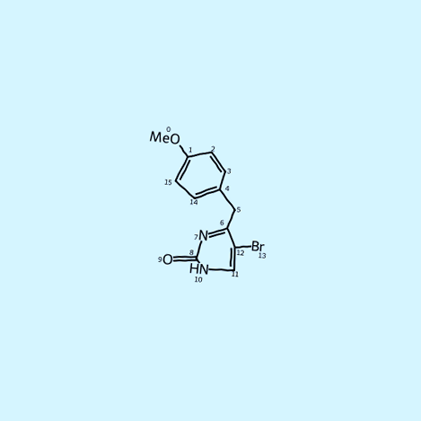 COc1ccc(Cc2nc(=O)[nH]cc2Br)cc1